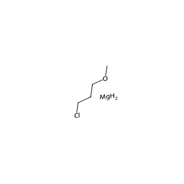 COCCCCl.[MgH2]